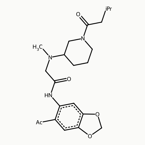 CC(=O)c1cc2c(cc1NC(=O)CN(C)C1CCCN(C(=O)CC(C)C)C1)OCO2